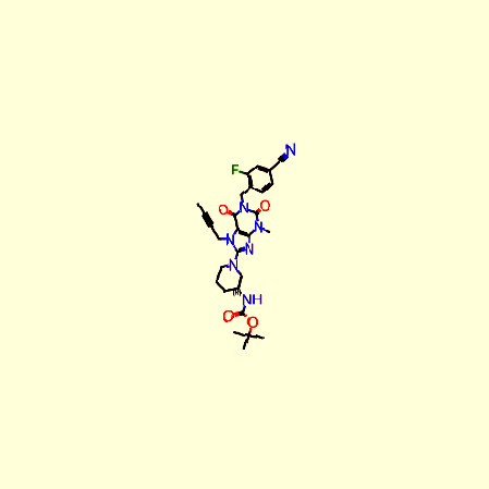 CC#CCn1c(N2CCC[C@@H](NC(=O)OC(C)(C)C)C2)nc2c1c(=O)n(Cc1ccc(C#N)cc1F)c(=O)n2C